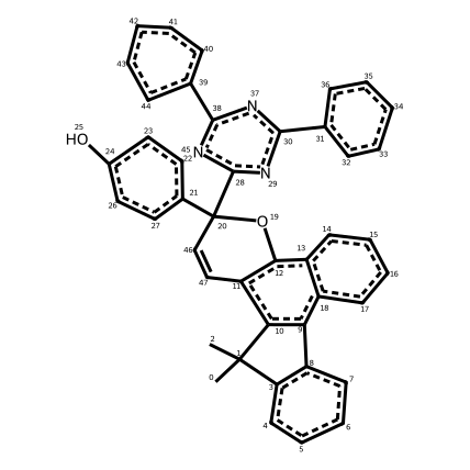 CC1(C)c2ccccc2-c2c1c1c(c3ccccc23)OC(c2ccc(O)cc2)(c2nc(-c3ccccc3)nc(-c3ccccc3)n2)C=C1